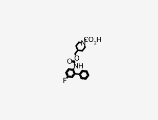 O=C(Nc1ccc(F)cc1-c1ccccc1)OCC1CCN(C(=O)O)CC1